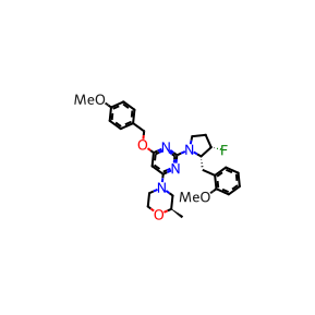 COc1ccc(COc2cc(N3CCO[C@H](C)C3)nc(N3CC[C@H](F)[C@@H]3Cc3ccccc3OC)n2)cc1